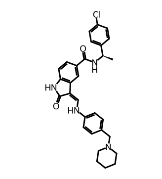 C[C@@H](NC(=O)c1ccc2c(c1)/C(=C/Nc1ccc(CN3CCCCC3)cc1)C(=O)N2)c1ccc(Cl)cc1